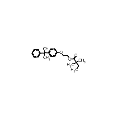 CCC(C)(C)C(=O)OCCOc1ccc(C(C)(C)c2ccccc2)cc1